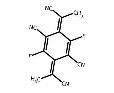 C/C(C#N)=c1\c(F)c(C#N)/c(=C(/C)C#N)c(F)c1C#N